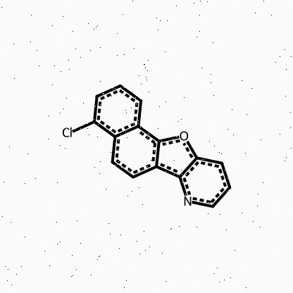 Clc1cccc2c1ccc1c3ncccc3oc21